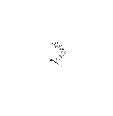 O.O.O.O.O.O.[Cl][Au]